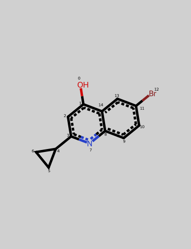 Oc1cc(C2CC2)nc2ccc(Br)cc12